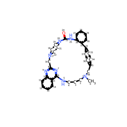 CN1CCCNc2nc(nc3ccccc23)CN2CCN(CC2)C(=O)Nc2ccccc2-c2ccc(cc2)C1